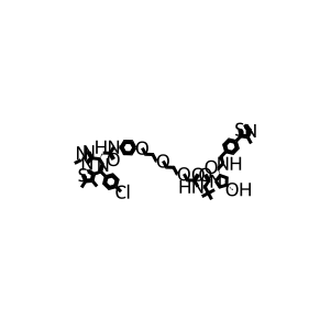 Cc1ncsc1-c1ccc(CNC(=O)[C@@H]2C[C@H](O)CN2C(=O)C(NC(=O)COCCCOCCCOc2ccc(NC(=O)C[C@@H]3N=C(c4ccc(Cl)cc4)c4c(sc(C)c4C)-n4c(C)nnc43)cc2)C(C)(C)C)cc1